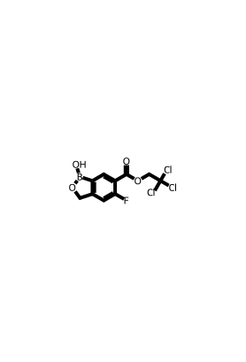 O=C(OCC(Cl)(Cl)Cl)c1cc2c(cc1F)COB2O